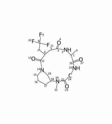 CC1NC(=O)CC(CC(F)(F)F)C(=O)N2CCCC(C2)N(C)C(=O)CNC1=O